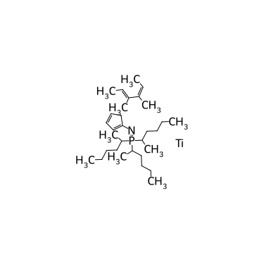 CC=C(C)C(C)=CC.CCCCC(C)P(=NC1=CC=CC1)(C(C)CCCC)C(C)CCCC.[Ti]